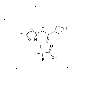 Cc1cnc(NC(=O)C2CNC2)o1.O=C(O)C(F)(F)F